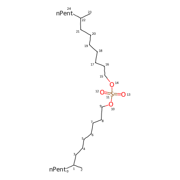 CCCCCC(C)CCCCCCCOS(=O)(=O)OCCCCCCCC(C)CCCCC